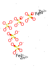 O=S(=O)([O-])[O-].O=S(=O)([O-])[O-].O=S(=O)([O-])[O-].O=S(=O)([O-])[O-].O=S(=O)([O-])[O-].[Fe+3].[Fe+3].[Zn+2].[Zn+2]